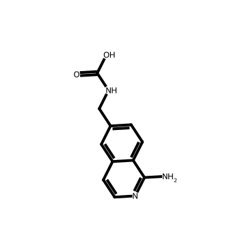 Nc1nccc2cc(CNC(=O)O)ccc12